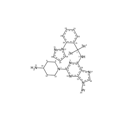 [2H]C([2H])(Nc1nc(N2CCC(N)CC2)nc2c1ncn2C(C)C)c1ccccc1-n1cccn1